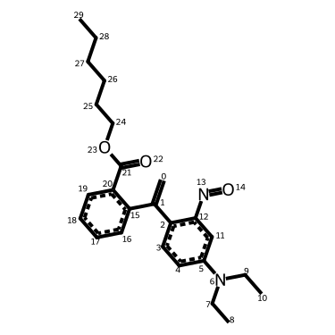 C=C(c1ccc(N(CC)CC)cc1N=O)c1ccccc1C(=O)OCCCCCC